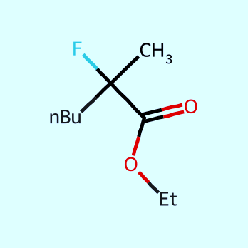 CCCCC(C)(F)C(=O)OCC